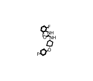 O=C(Nc1c(F)cccc1F)N[C@H]1CC[C@@H](Oc2ccc(F)cc2)CC1